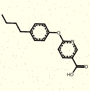 CCCCc1ccc(Oc2ccc(C(=O)O)cn2)cc1